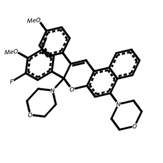 COc1ccc(C2=Cc3c(cc(N4CCOCC4)c4ccccc34)OC2(c2cc(F)c(OC)c(F)c2)N2CCOCC2)cc1